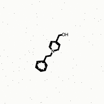 OCC1=CCN(CCc2ccccc2)C=C1